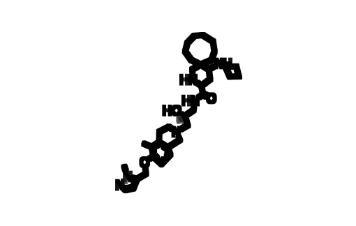 Cc1c(OCc2ccnn2C)ccc2c1CCN(C[C@@H](O)CNC(=O)C1CC(NC3CCC3)C3(CCCCCCCC3)CN1)C2